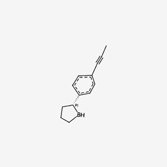 CC#Cc1ccc([C@@H]2BCCC2)cc1